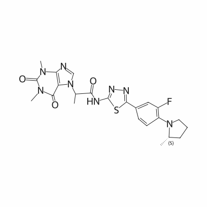 CC(C(=O)Nc1nnc(-c2ccc(N3CCC[C@@H]3C)c(F)c2)s1)n1cnc2c1c(=O)n(C)c(=O)n2C